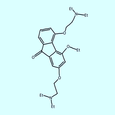 CCOc1cc(OCCN(CC)CC)cc2c1-c1c(OCCN(CC)CC)cccc1C2=O